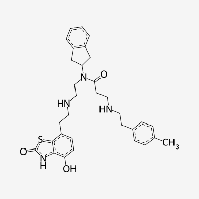 Cc1ccc(CCNCCC(=O)N(CCNCCc2ccc(O)c3[nH]c(=O)sc23)C2Cc3ccccc3C2)cc1